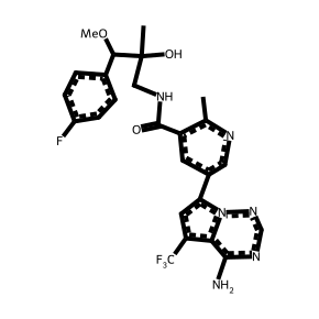 COC(c1ccc(F)cc1)C(C)(O)CNC(=O)c1cc(-c2cc(C(F)(F)F)c3c(N)ncnn23)cnc1C